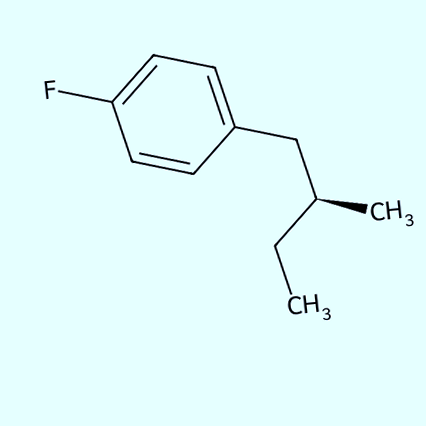 CC[C@H](C)Cc1ccc(F)cc1